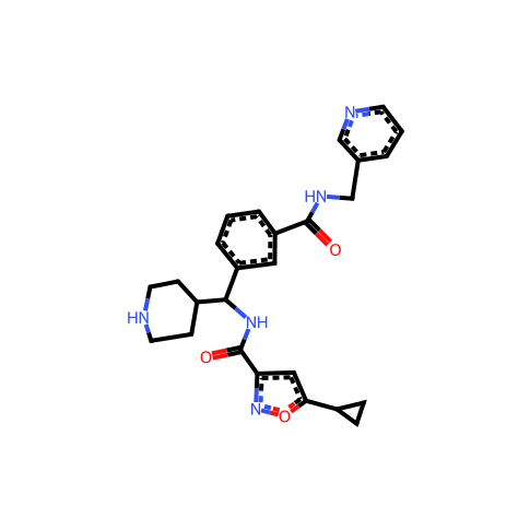 O=C(NCc1cccnc1)c1cccc(C(NC(=O)c2cc(C3CC3)on2)C2CCNCC2)c1